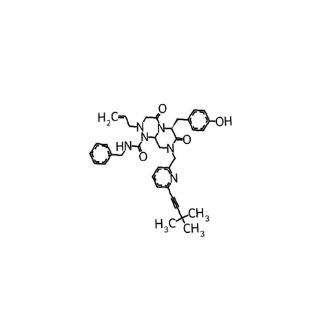 C=CCN1CC(=O)N2C(CN(Cc3cccc(C#CC(C)(C)C)n3)C(=O)[C@@H]2Cc2ccc(O)cc2)N1C(=O)NCc1ccccc1